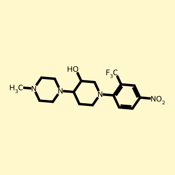 CN1CCN(C2CCN(c3ccc([N+](=O)[O-])cc3C(F)(F)F)CC2O)CC1